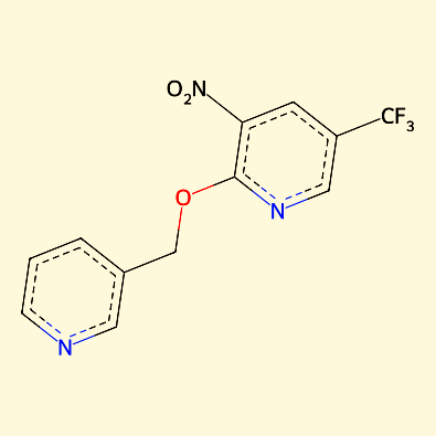 O=[N+]([O-])c1cc(C(F)(F)F)cnc1OCc1cccnc1